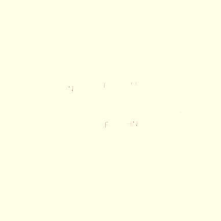 CCCC(N)C(F)(F)C(=O)NC1CC1